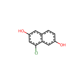 Oc1cc(Cl)c2cc(O)ccc2c1